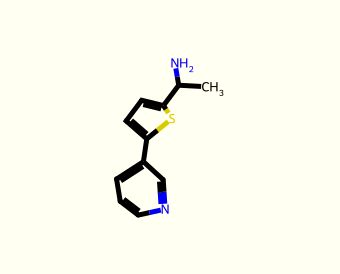 CC(N)c1ccc(-c2cccnc2)s1